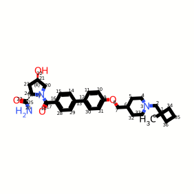 CC1(CN2CCC(COc3ccc(-c4ccc(C(=O)N5C[C@H](O)C[C@H]5C(N)=O)cc4)cc3)CC2)CCC1